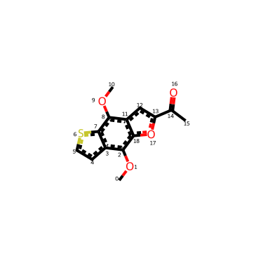 COc1c2ccsc2c(OC)c2cc(C(C)=O)oc12